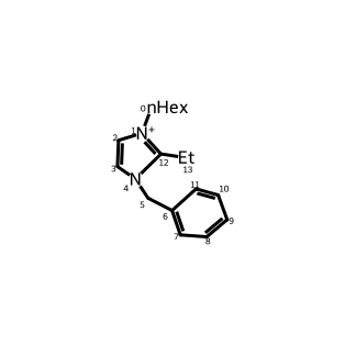 CCCCCC[n+]1ccn(Cc2ccccc2)c1CC